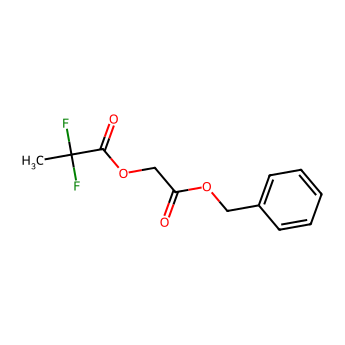 CC(F)(F)C(=O)OCC(=O)OCc1ccccc1